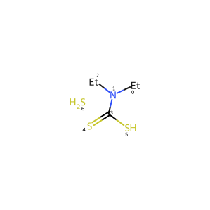 CCN(CC)C(=S)S.S